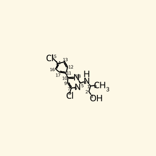 CC(CO)Nc1nc(Cl)cc(-c2ccc(Cl)cc2)n1